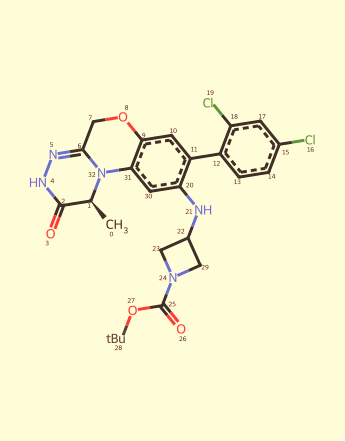 C[C@H]1C(=O)NN=C2COc3cc(-c4ccc(Cl)cc4Cl)c(NC4CN(C(=O)OC(C)(C)C)C4)cc3N21